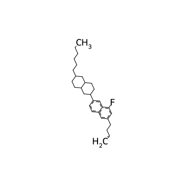 C=CCCc1cc(F)c2cc(C3CCC4CC(CCCCCC)CCC4C3)ccc2c1